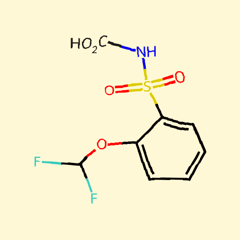 O=C(O)NS(=O)(=O)c1ccccc1OC(F)F